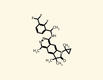 Cc1nnc(NC(C)c2cccc(C(F)F)c2F)c2cc3c(cc12)C(C)(C)C(=O)N3C1(C)CC1